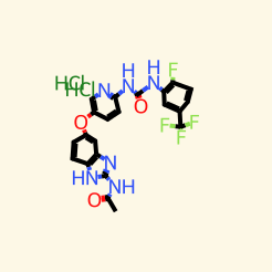 CC(=O)Nc1nc2cc(Oc3ccc(NC(=O)Nc4cc(C(F)(F)F)ccc4F)nc3)ccc2[nH]1.Cl.Cl